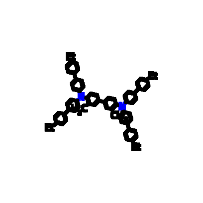 CCc1ccc(-c2ccc(N(c3ccc(-c4ccc(CC)cc4)cc3)c3ccc(-c4ccc(N(c5ccc(-c6ccc(CC)cc6)cc5)c5ccc(-c6ccc(CC)cc6)cc5)c(C)c4)cc3C)cc2)cc1